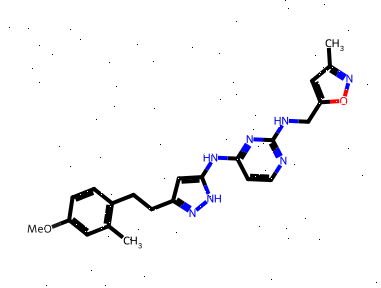 COc1ccc(CCc2cc(Nc3ccnc(NCc4cc(C)no4)n3)[nH]n2)c(C)c1